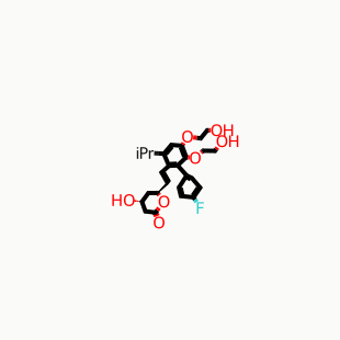 CC(C)c1cc(OCCO)c(OCCO)c(-c2ccc(F)cc2)c1/C=C/[C@@H]1C[C@@H](O)CC(=O)O1